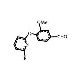 COc1cc(C=O)ccc1Oc1cccc(F)n1